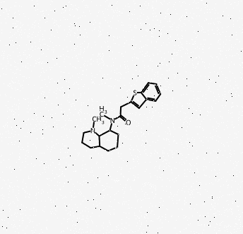 CN1CCCC2CCCC(N(C)C(=O)Cc3cc4ccccc4s3)C21